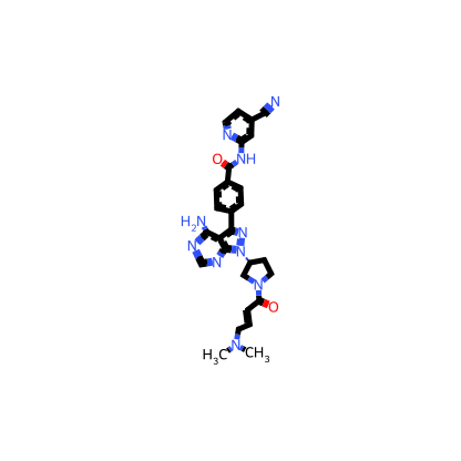 CN(C)CC=CC(=O)N1CC[C@@H](n2nc(-c3ccc(C(=O)Nc4cc(C#N)ccn4)cc3)c3c(N)ncnc32)C1